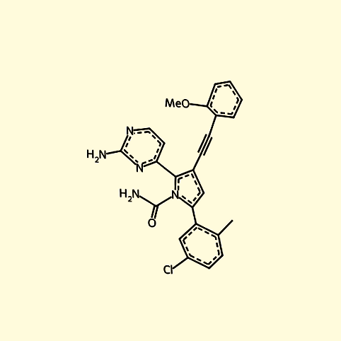 COc1ccccc1C#Cc1cc(-c2cc(Cl)ccc2C)n(C(N)=O)c1-c1ccnc(N)n1